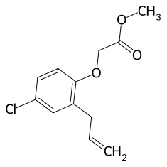 C=CCc1cc(Cl)ccc1OCC(=O)OC